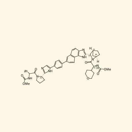 COC(=O)NC(C(=O)N1CCC[C@H]1c1ncc(-c2ccc(-c3ccc4c(ccc5nc([C@@H]6[C@H]7CC[C@H](C7)N6C(=O)[C@@H](NC(=O)OC)C6CCOCC6)[nH]c54)c3)cc2)[nH]1)C(C)C